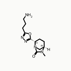 CN1C(=O)N2C[C@H]1CC[C@H]2c1nnc(CCCN)o1